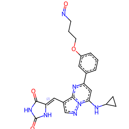 O=NCCCOc1cccc(-c2cc(NC3CC3)n3ncc(/C=C4\NC(=O)NC4=O)c3n2)c1